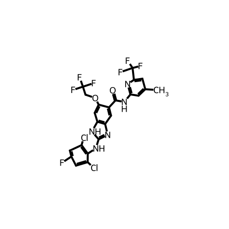 Cc1cc(NC(=O)c2cc3nc(Nc4c(Cl)cc(F)cc4Cl)[nH]c3cc2OCC(F)(F)F)nc(C(F)(F)F)c1